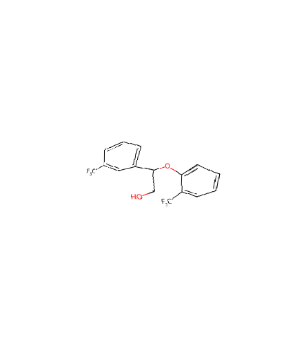 OCC(Oc1ccccc1C(F)(F)F)c1cccc(C(F)(F)F)c1